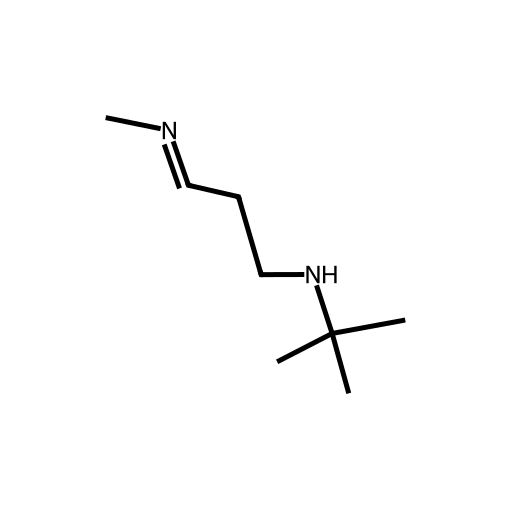 C/N=C/CCNC(C)(C)C